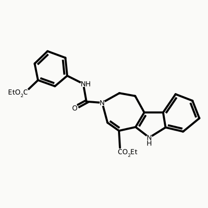 CCOC(=O)C1=CN(C(=O)Nc2cccc(C(=O)OCC)c2)CCc2c1[nH]c1ccccc21